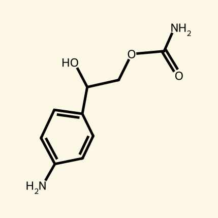 NC(=O)OCC(O)c1ccc(N)cc1